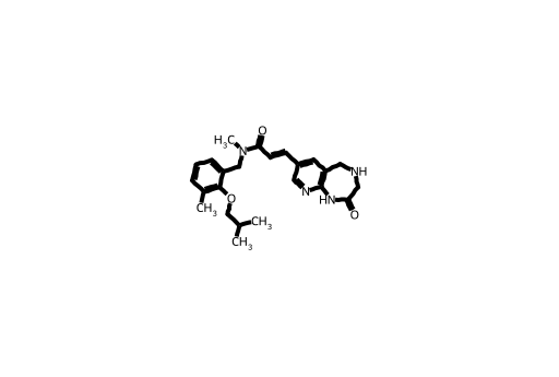 Cc1cccc(CN(C)C(=O)/C=C/c2cnc3c(c2)CNCC(=O)N3)c1OCC(C)C